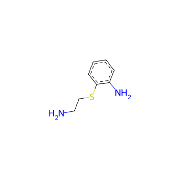 NCCSc1ccccc1N